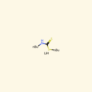 CCCCNC(=S)SCCCC.[LiH]